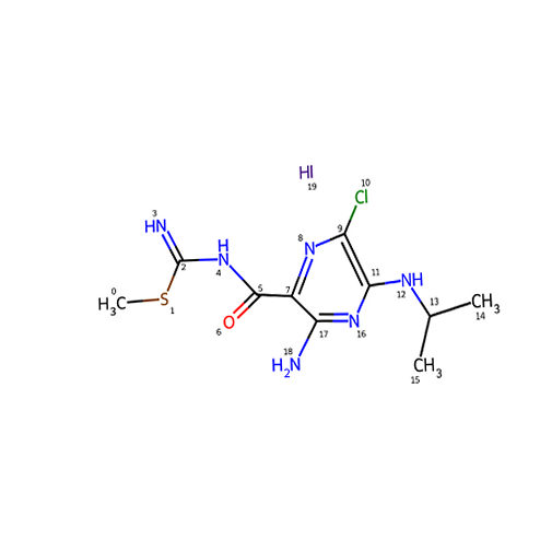 CSC(=N)NC(=O)c1nc(Cl)c(NC(C)C)nc1N.I